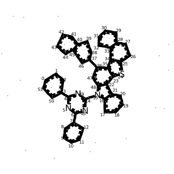 c1ccc(-c2nc(-c3ccccc3)nc(-n3c4ccccc4c4c5sc6ccc7ccccc7c6c5c(-c5ccc6ccccc6c5)cc43)n2)cc1